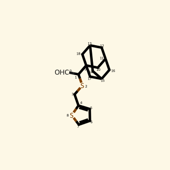 O=CC(SCc1cccs1)C12CC3CC(CC(C3)C1)C2